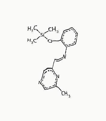 Cc1cncc(C=Nc2ccccc2O[Si](C)(C)C)n1